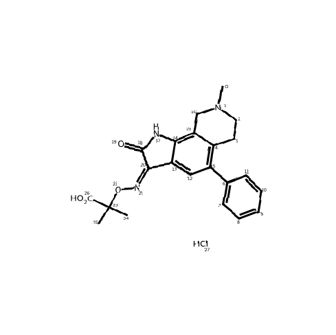 CN1CCc2c(-c3ccccc3)cc3c(c2C1)NC(=O)C3=NOC(C)(C)C(=O)O.Cl